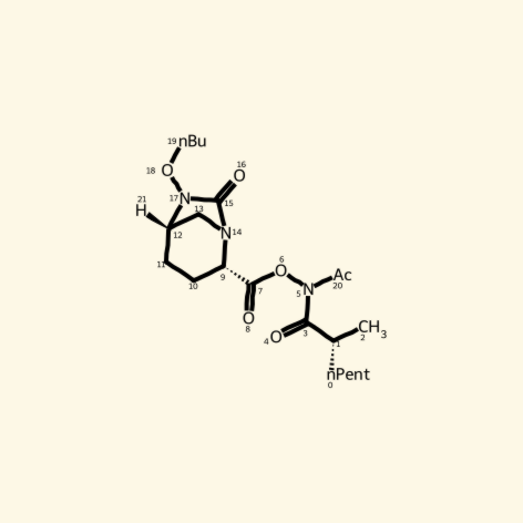 CCCCC[C@@H](C)C(=O)N(OC(=O)[C@@H]1CC[C@H]2CN1C(=O)N2OCCCC)C(C)=O